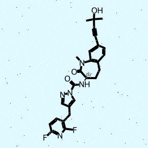 CN1C(=O)[C@@H](NC(=O)n2cc(Cc3ccc(F)nc3F)cn2)CCc2ccc(C#CC(C)(C)O)cc21